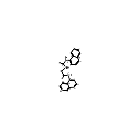 CC(CNC(C)Nc1cccc2ccccc12)Nc1cccc2ccccc12